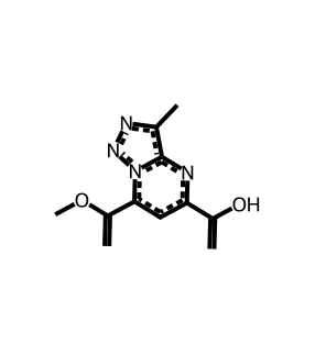 C=C(O)c1cc(C(=C)OC)n2nnc(C)c2n1